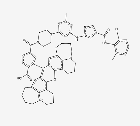 Cc1nc(Nc2ncc(C(=O)Nc3c(C)cccc3Cl)s2)cc(N2CCN(C(=O)c3ccc(C(=O)O)c(C4=c5cc6c7c(c5Oc5c4cc4c8c5CCCN8CCCC4)CCC[N+]=7CCCC6)c3)CC2)n1